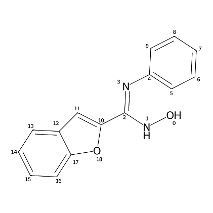 ON/C(=N\c1ccccc1)c1cc2ccccc2o1